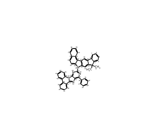 CC1(C)c2ccccc2-c2cc3c4c5ccccc5ccc4n(-c4nc(-c5ccccc5)c5nc6c7ccccc7c7ccccc7n6c5n4)c3cc21